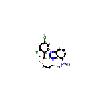 CCN(CC)c1cccc2nc3n(c12)CCCOC3(C)c1ccc(Cl)cc1Cl